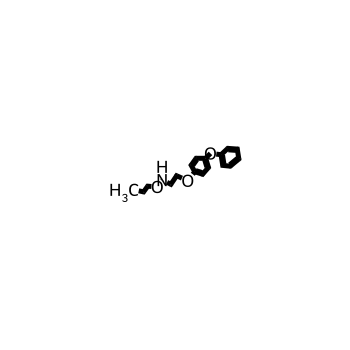 CCCONCCOc1ccc(Oc2ccccc2)cc1